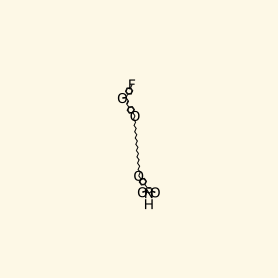 O=C1C=C(c2ccc(OCCCCCCCCCCCCCCCCCCOc3ccc(C=CC(=O)c4ccc(F)cc4)cc3)cc2)C(=O)N1